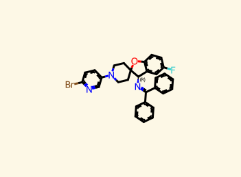 Fc1ccc2c(c1)[C@@H](N=C(c1ccccc1)c1ccccc1)C1(CCN(c3ccc(Br)nc3)CC1)O2